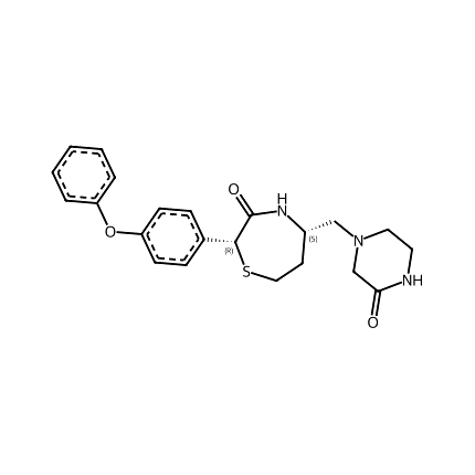 O=C1CN(C[C@@H]2CCS[C@H](c3ccc(Oc4ccccc4)cc3)C(=O)N2)CCN1